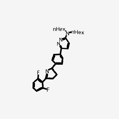 CCCCCCN(CCCCCC)c1ccc(-c2ccc(C3CCC(c4c(F)cccc4F)=N3)cc2)nn1